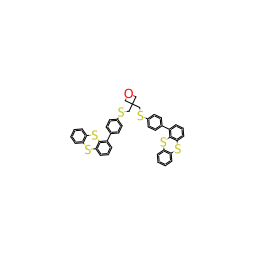 c1ccc2c(c1)Sc1cccc(-c3ccc(SCC4(CSc5ccc(-c6cccc7c6Sc6ccccc6S7)cc5)COC4)cc3)c1S2